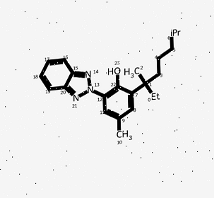 CCC(C)(CCCC(C)C)c1cc(C)cc(-n2nc3ccccc3n2)c1O